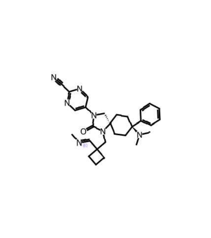 C/N=C/C1(CN2C(=O)N(c3cnc(C#N)nc3)C[C@]23CC[C@](c2ccccc2)(N(C)C)CC3)CCC1